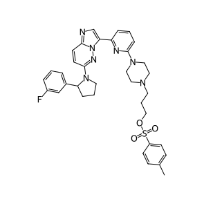 Cc1ccc(S(=O)(=O)OCCCN2CCN(c3cccc(-c4cnc5ccc(N6CCCC6c6cccc(F)c6)nn45)n3)CC2)cc1